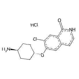 Cl.N[C@H]1CC[C@H](Oc2cc3cc[nH]c(=O)c3cc2Cl)CC1